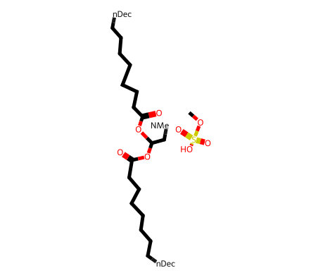 CCCCCCCCCCCCCCCCCC(=O)OC(CNC)OC(=O)CCCCCCCCCCCCCCCCC.COS(=O)(=O)O